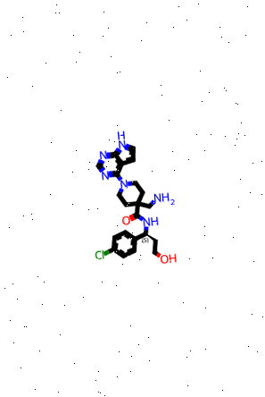 NCC1(C(=O)N[C@@H](CCO)c2ccc(Cl)cc2)CCN(c2ncnc3[nH]ccc23)CC1